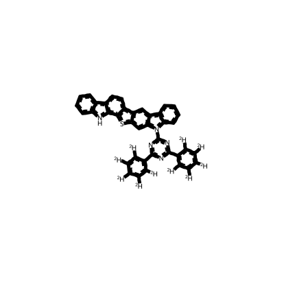 [2H]c1c([2H])c([2H])c(-c2nc(-c3c([2H])c([2H])c([2H])c([2H])c3[2H])nc(-n3c4ccccc4c4cc5c(cc43)sc3c5ccc4c5ccccc5[nH]c43)n2)c([2H])c1[2H]